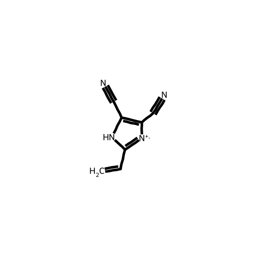 C=CC1=[N+]C(C#N)=C(C#N)N1